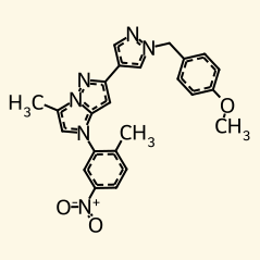 COc1ccc(Cn2cc(-c3cc4n(-c5cc([N+](=O)[O-])ccc5C)cc(C)n4n3)cn2)cc1